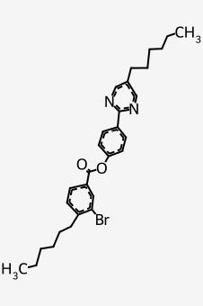 CCCCCCc1cnc(-c2ccc(OC(=O)c3ccc(CCCCCC)c(Br)c3)cc2)nc1